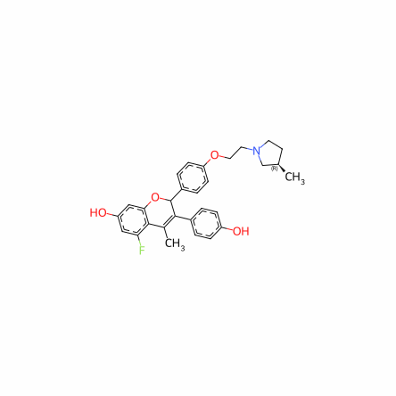 CC1=C(c2ccc(O)cc2)C(c2ccc(OCCN3CC[C@@H](C)C3)cc2)Oc2cc(O)cc(F)c21